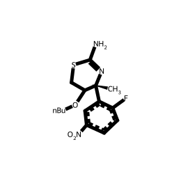 CCCCOC1CSC(N)=N[C@]1(C)c1cc([N+](=O)[O-])ccc1F